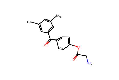 NCC(=O)Oc1ccc(C(=O)c2cc([N+](=O)[O-])cc([N+](=O)[O-])c2)cc1